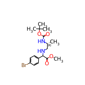 COC(=O)C(NC[C@@H](C)NC(=O)OC(C)(C)C)c1ccc(Br)cc1